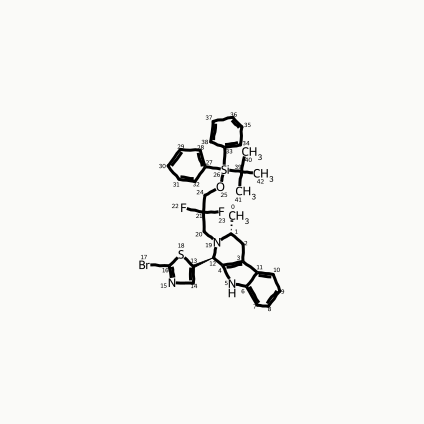 C[C@@H]1Cc2c([nH]c3ccccc23)[C@@H](c2cnc(Br)s2)N1CC(F)(F)CO[Si](c1ccccc1)(c1ccccc1)C(C)(C)C